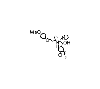 COc1ccc(OCCC(=O)N[C@H](CN2CCCC2)[C@H](O)c2ccc(C)c(F)c2)cc1